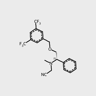 CN(CC#N)[C@H](COCc1cc(C(F)(F)F)cc(C(F)(F)F)c1)c1ccccc1